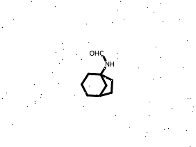 O=CNC12CCCC(CC1)C2